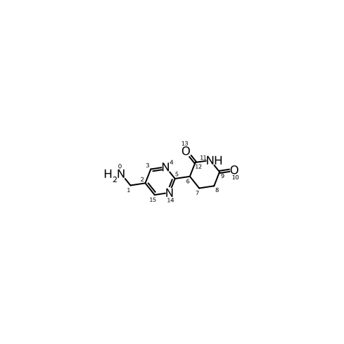 NCc1cnc(C2CCC(=O)NC2=O)nc1